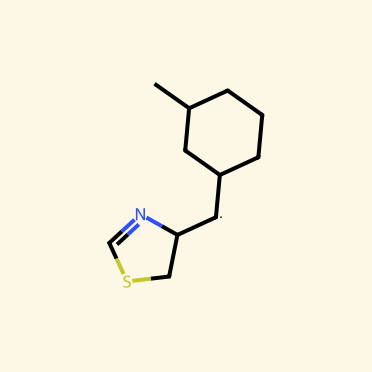 CC1CCCC([CH]C2CSC=N2)C1